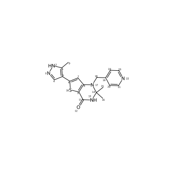 Cc1[nH]ncc1-c1cc2c(s1)C(=O)NC(C)(C)N2Cc1ccncc1